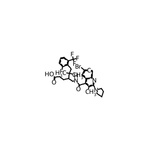 Cc1c(N2CCCC2)nc2ccc(Br)cc2c1C(=O)NCC(CCC(=O)O)C(C)(C)Cc1c(F)cccc1C(F)(F)F